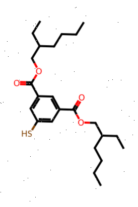 CCCCC(CC)COC(=O)c1cc(S)cc(C(=O)OCC(CC)CCCC)c1